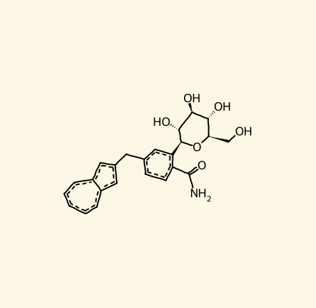 NC(=O)c1ccc(Cc2cc3cccccc-3c2)cc1[C@@H]1O[C@H](CO)[C@@H](O)[C@H](O)[C@H]1O